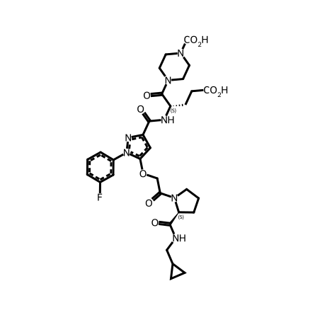 O=C(O)CC[C@H](NC(=O)c1cc(OCC(=O)N2CCC[C@H]2C(=O)NCC2CC2)n(-c2cccc(F)c2)n1)C(=O)N1CCN(C(=O)O)CC1